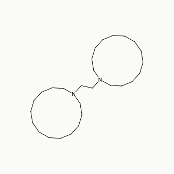 C1CCCCCCN(CCN2CCCCCCCCCCCCC2)CCCCCC1